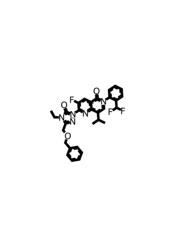 CCn1c(COCc2ccccc2)nn(-c2nc3c(C(C)C)cn(-c4ccccc4C(F)F)c(=O)c3cc2F)c1=O